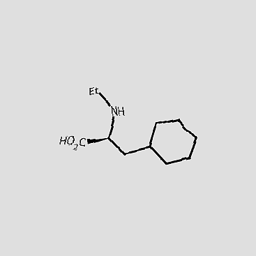 CCN[C@@H](CC1CCCCC1)C(=O)O